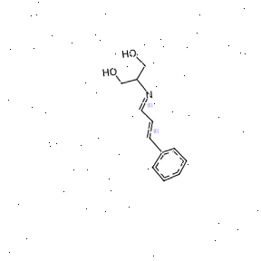 OCC(CO)/N=C/C=C/c1ccccc1